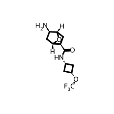 N[C@@H]1C[C@@H]2O[C@H]1C[C@H]2C(=O)N[C@H]1C[C@@H](OC(F)(F)F)C1